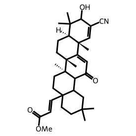 COC(=O)/C=C/C12CCC(C)(C)CC1C1C(=O)C=C3[C@@]4(C)C=C(C#N)C(O)C(C)(C)[C@@H]4CC[C@@]3(C)[C@]1(C)CC2